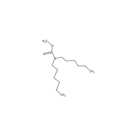 [CH2]OC(=O)N(CCCCCC)CCCCCC